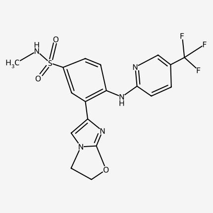 CNS(=O)(=O)c1ccc(Nc2ccc(C(F)(F)F)cn2)c(-c2cn3c(n2)OCC3)c1